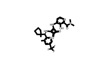 Cc1cc(C(F)(F)F)cnc1[C@H](Nc1c(Nc2ccnc(C(=O)N(C)C)c2O)c(=O)c1=O)C1(C)CCCC1